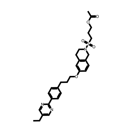 CCc1cnc(-c2ccc(CCCOc3ccc4c(c3)CCN(S(=O)(=O)CCCOC(C)=O)C4)cc2)nc1